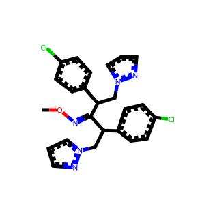 CON=C(C(Cn1cccn1)c1ccc(Cl)cc1)C(Cn1cccn1)c1ccc(Cl)cc1